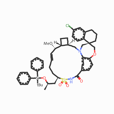 CO[C@H]1/C=C/CC[C@H](C[C@@H](C)O[Si](c2ccccc2)(c2ccccc2)C(C)(C)C)S(=O)(=O)NC(=O)c2ccc3c(c2)N(C[C@@H]2CC[C@H]21)C[C@@]1(CCCc2cc(Cl)ccc21)CO3